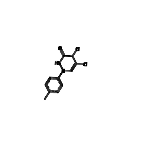 Cc1ccc(N2C=C(Cl)C(Cl)C(=O)N2)cc1